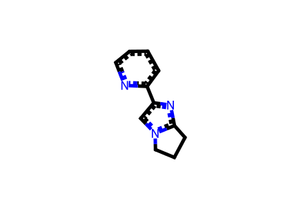 c1ccc(-c2cn3c(n2)CCC3)nc1